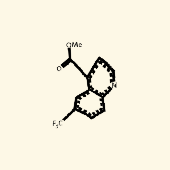 COC(=O)c1ccnc2ccc(C(F)(F)F)cc12